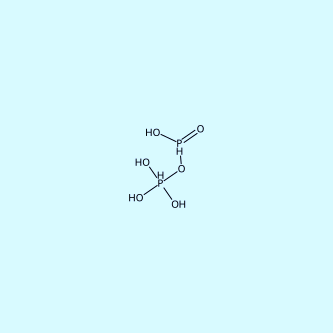 O=[PH](O)O[PH](O)(O)O